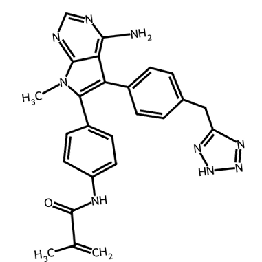 C=C(C)C(=O)Nc1ccc(-c2c(-c3ccc(Cc4nn[nH]n4)cc3)c3c(N)ncnc3n2C)cc1